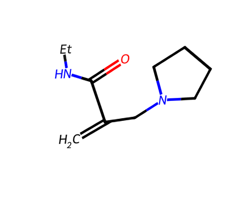 C=C(CN1CCCC1)C(=O)NCC